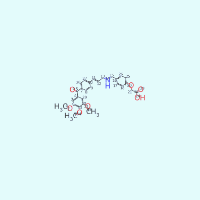 COc1cc(C(=O)c2ccc(C=CCNCc3ccc(OCC(=O)O)cc3)cc2)cc(OC)c1OC